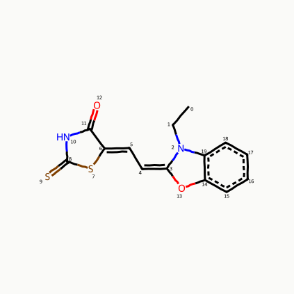 CCN1C(=CC=C2SC(=S)NC2=O)Oc2ccccc21